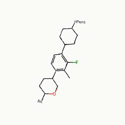 CCCCCC1CCC(c2ccc(C3CCC(C(C)=O)OC3)c(C)c2F)CC1